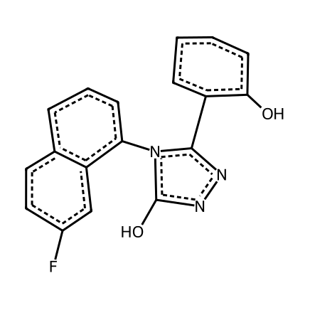 Oc1ccccc1-c1nnc(O)n1-c1cccc2ccc(F)cc12